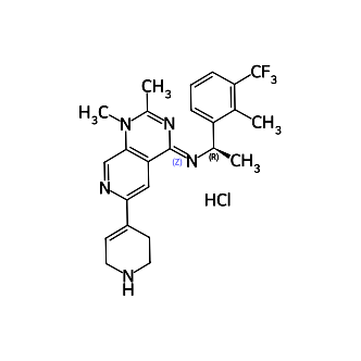 Cc1c([C@@H](C)/N=c2\nc(C)n(C)c3cnc(C4=CCNCC4)cc23)cccc1C(F)(F)F.Cl